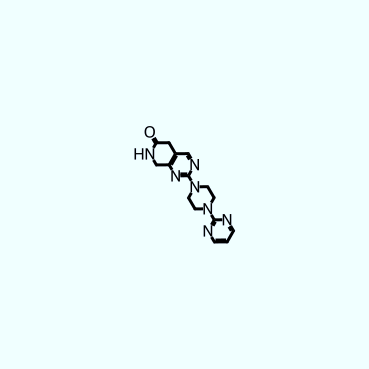 O=C1Cc2cnc(N3CCN(c4ncccn4)CC3)nc2CN1